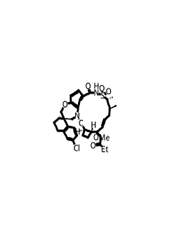 CCC(=O)C[C@]1(OC)/C=C/C[C@H](C)[C@@H](C)S(=O)(=O)NC(=O)c2ccc3c(c2)N(C[C@@H]2CC[C@H]21)C[C@@]1(CCCc2cc(Cl)ccc21)CO3